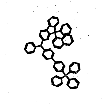 c1ccc(N(c2ccc(-c3ccc([Si](c4ccccc4)(c4ccccc4)c4ccccc4)cc3)cc2)c2ccc3c(c2)C(c2ccccc2)(c2cccc4ccccc24)c2ccccc2-3)cc1